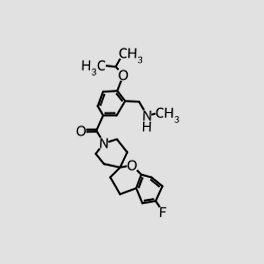 CNCc1cc(C(=O)N2CCC3(CCc4cc(F)ccc4O3)CC2)ccc1OC(C)C